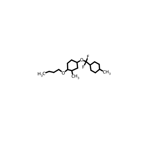 CCCCOC1CCC(OC(F)(F)C2CCC(C)CC2)CC1C